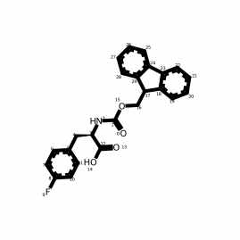 O=C(N[C@H](Cc1ccc(F)cc1)C(=O)O)OCC1c2ccccc2-c2ccccc21